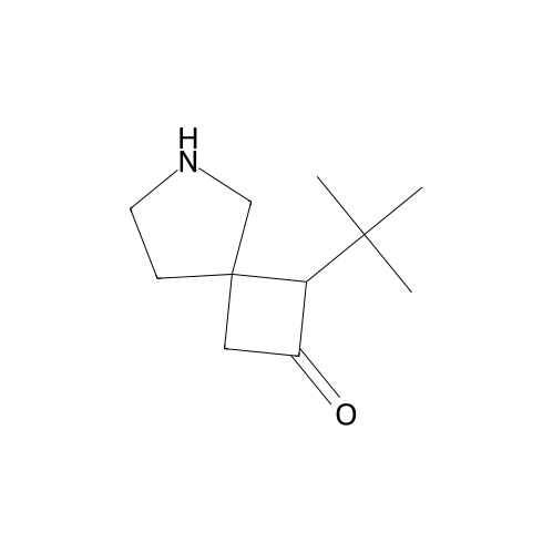 CC(C)(C)C1C(=O)CC12CCNC2